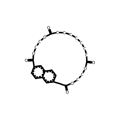 O=C1CCCCCCCC(=O)OCCOC(=O)c2ccc3cc(ccc3c2)C(=O)OCCO1